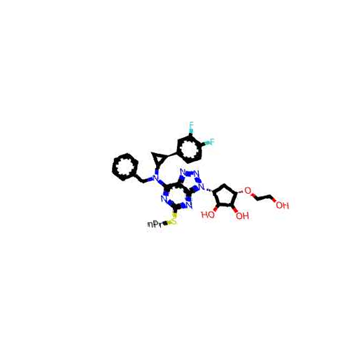 CCCSc1nc(N(Cc2ccccc2)C2C[C@H]2c2ccc(F)c(F)c2)c2nnn([C@@H]3C[C@H](OCCO)C(O)C3O)c2n1